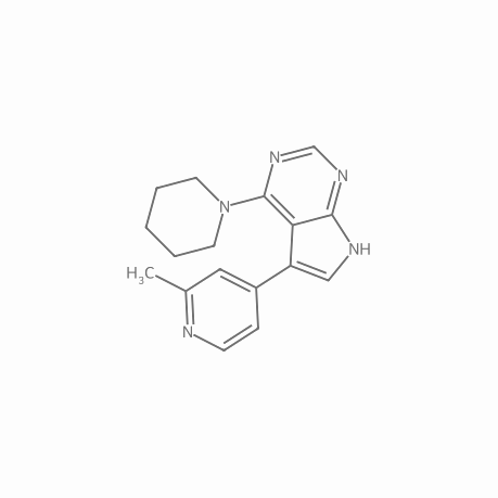 Cc1cc(-c2c[nH]c3ncnc(N4CCCCC4)c23)ccn1